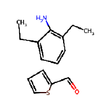 CCc1cccc(CC)c1N.O=Cc1cccs1